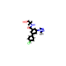 CC(C)c1nncn1-c1cc(C(=O)NC(C)(C)CO)cc(-c2ccc(Cl)cc2)c1